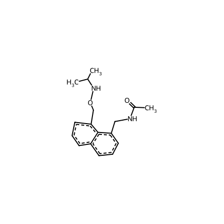 CC(=O)NCc1cccc2cccc(CONC(C)C)c12